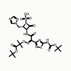 CC(C)(C)OC(=O)Nc1nc(/C(=N/OC(C)(C)C(=O)OC(C)(C)C)C(=O)N[C@@H]2C(=O)N(S(=O)(=O)O)[C@@H]2Cn2cncn2)ns1